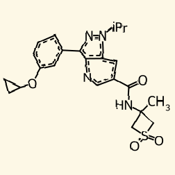 CC(C)n1nc(-c2cccc(OC3CC3)c2)c2ncc(C(=O)NC3(C)CS(=O)(=O)C3)cc21